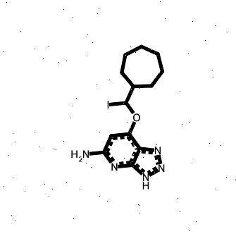 Nc1cc(OC(I)C2CCCCCC2)c2nn[nH]c2n1